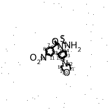 NC(=S)N(C(=O)c1ccc([N+](=O)[O-])cc1)c1ccc(N2CCOCC2)cc1